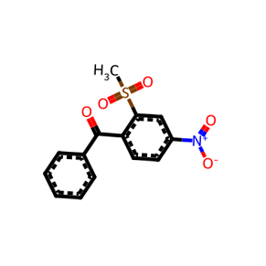 CS(=O)(=O)c1cc([N+](=O)[O-])ccc1C(=O)c1ccccc1